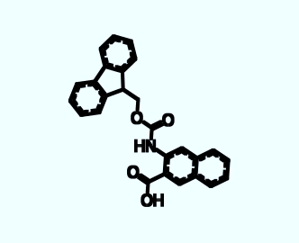 O=C(Nc1cc2ccccc2cc1C(=O)O)OCC1c2ccccc2-c2ccccc21